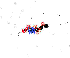 COCCOc1cc2ncnc(NC3=CC(=O)C(Oc4ccc(C(=O)c5ccccc5)cc4)=CC3=O)c2cc1OC